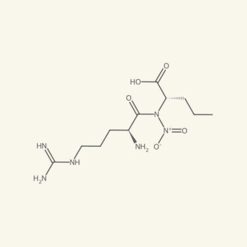 CCC[C@@H](C(=O)O)N(C(=O)[C@@H](N)CCCNC(=N)N)[N+](=O)[O-]